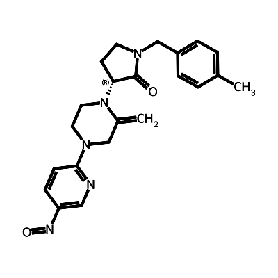 C=C1CN(c2ccc(N=O)cn2)CCN1[C@@H]1CCN(Cc2ccc(C)cc2)C1=O